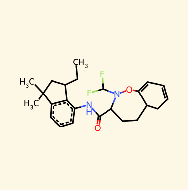 CCC1CC(C)(C)c2cccc(NC(=O)C3CCC4CC=CC=C4ON3C(F)F)c21